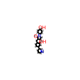 O=C1C(Cc2ccc(C3C=CC=NC3)cc2O)CCN1C1CCC(O)CC1